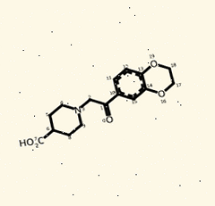 O=C(CN1CCC(C(=O)O)CC1)c1ccc2c(c1)OCCO2